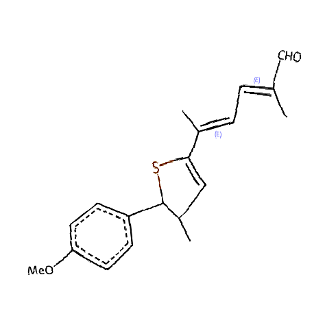 COc1ccc(C2SC(/C(C)=C/C=C(\C)C=O)=CC2C)cc1